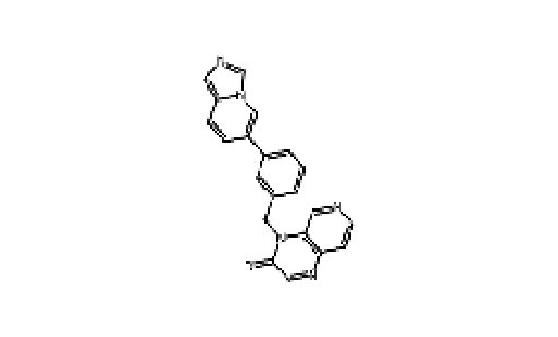 O=c1cnc2ccncc2n1Cc1cccc(-c2ccc3cncn3c2)c1